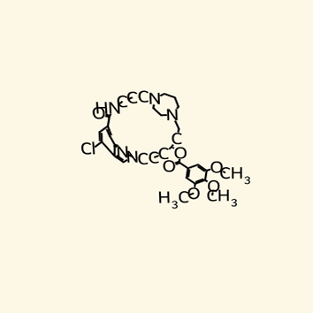 COc1cc(C(=O)O[C@H]2CCCn3cc4c(Cl)cc(cc4n3)C(=O)NCCCN3CCCN(CC2)CC3)cc(OC)c1OC